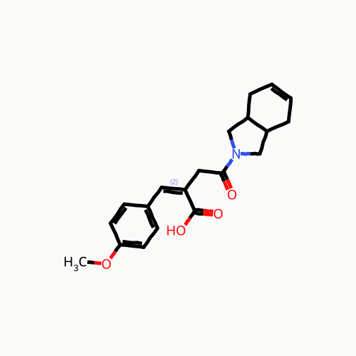 COc1ccc(/C=C(/CC(=O)N2CC3CC=CCC3C2)C(=O)O)cc1